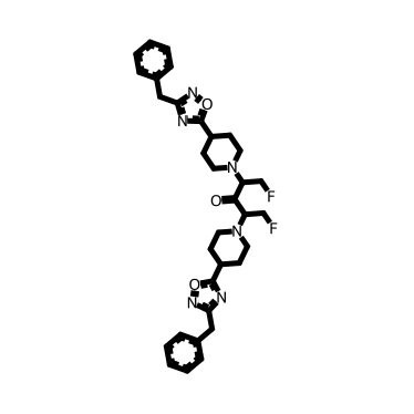 O=C(C(CF)N1CCC(c2nc(Cc3ccccc3)no2)CC1)C(CF)N1CCC(c2nc(Cc3ccccc3)no2)CC1